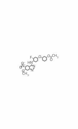 COc1cc2ncnc(Nc3ccc(Oc4cccc(OC(C)=O)c4)cc3F)c2cc1[N+](=O)[O-]